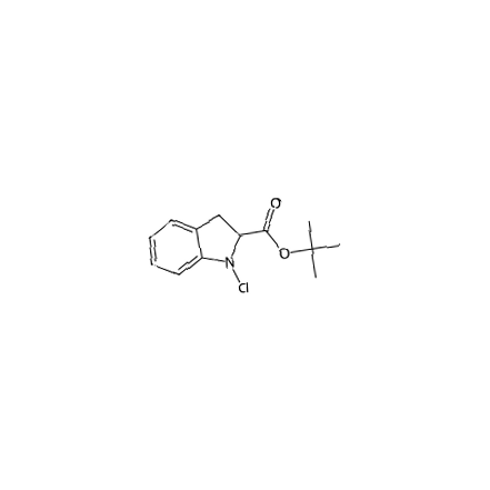 CC(C)(C)OC(=O)C1Cc2ccccc2N1Cl